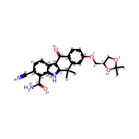 CC1(C)OC[C@H](COc2ccc3c(c2)C(C)(C)c2[nH]c4c(C(N)=O)c(C#N)ccc4c2C3=O)O1